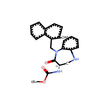 COc1ccc2ccccc2c1CN1C(=O)[C@@H](NC(=O)OC(C)(C)C)CNc2ccccc21